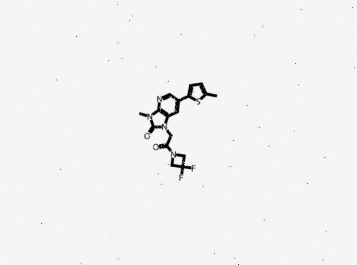 Cc1ccc(-c2cnc3c(c2)n(CC(=O)N2CC(F)(F)C2)c(=O)n3C)s1